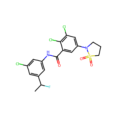 CC(F)c1cc(Cl)cc(NC(=O)c2cc(N3CCCS3(=O)=O)cc(Cl)c2Cl)c1